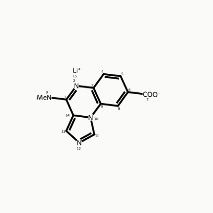 CNc1nc2ccc(C(=O)[O-])cc2n2cncc12.[Li+]